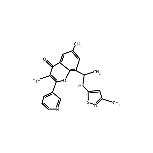 Cc1cc(C(C)Nc2cc(C)ns2)c2oc(-c3cccnc3)c(C)c(=O)c2c1